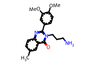 COc1ccc(-c2nc3ccc(C)cc3c(=O)n2CCCN)cc1OC